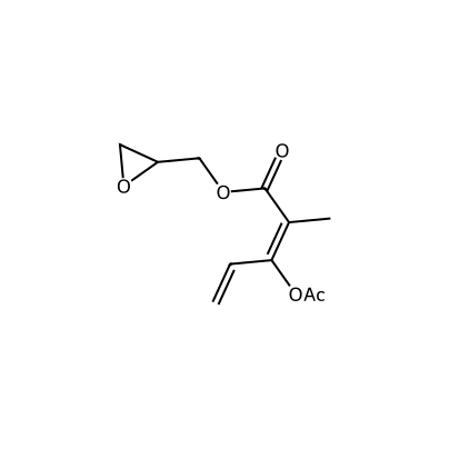 C=CC(OC(C)=O)=C(C)C(=O)OCC1CO1